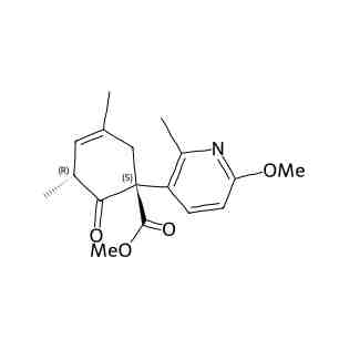 COC(=O)[C@]1(c2ccc(OC)nc2C)CC(C)=C[C@@H](C)C1=O